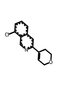 Clc1cccc2cc(C3=CCOCC3)ncc12